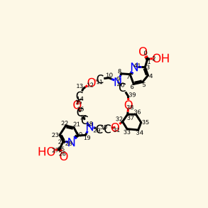 O=C(O)c1cccc(CN2CCOCCOCCN(Cc3cccc(C(=O)O)n3)CCOC3CCCCC3OCC2)n1